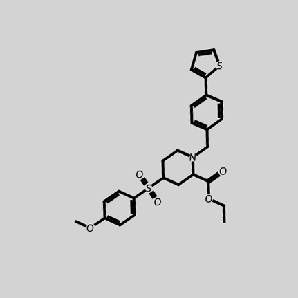 CCOC(=O)C1CC(S(=O)(=O)c2ccc(OC)cc2)CCN1Cc1ccc(-c2cccs2)cc1